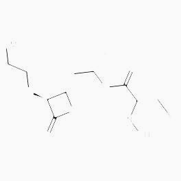 CC[C@@H](C[C@@H]1OC(=O)[C@H]1OCCOC)OC(=O)[C@H](CC(C)C)NC=O